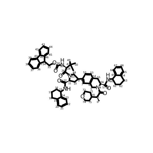 C[C@H](C(=O)N1Cc2cc(C3C[C@@H](C(=O)NC4CCCc5ccccc54)N(C(=O)[C@@H](NC(=O)OCC4c5ccccc5-c5ccccc54)C(C)(C)C)C3)ccc2C[C@H]1C(=O)NC1CCCc2ccccc21)C1CCOCC1